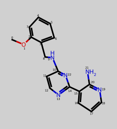 COc1ccccc1CNc1ccnc(-c2cccnc2N)n1